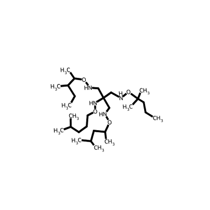 CCCC(C)(C)ONCC(CNOC(C)CC(C)C)(CNOC(C)C(C)CC)NOCCCC(C)C